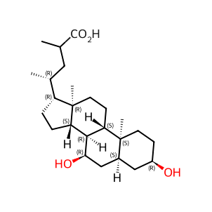 CC(C[C@@H](C)[C@H]1CC[C@H]2[C@@H]3[C@H](O)C[C@@H]4C[C@H](O)CC[C@]4(C)[C@H]3CC[C@]12C)C(=O)O